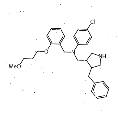 COCCCOc1ccccc1CN(CC1CNCC1Cc1ccccc1)c1ccc(Cl)cc1